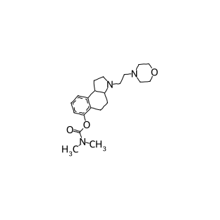 CN(C)C(=O)Oc1cccc2c1CCC1C2CCN1CCN1CCOCC1